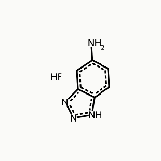 F.Nc1ccc2[nH]nnc2c1